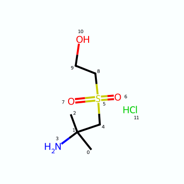 CC(C)(N)CS(=O)(=O)CCO.Cl